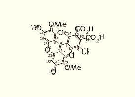 COc1cc2c(-c3c(Cl)c(Cl)c(C(=O)O)c(C(=O)O)c3Cl)c3cc(OC)c(=O)cc-3oc2cc1O